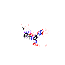 CNC(C(=O)c1c(I)c(NC(C)=O)c(I)c(C(=O)NCC(O)CO)c1I)C(=O)N(C)c1c(I)c(C(=O)N(CCO)CC(O)CO)c(I)c(C(=O)N(CCO)CC(O)CO)c1I